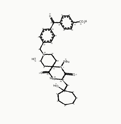 CCCCN1C(=O)[C@@H](CC2(O)CCCCCC2)NC(=O)C12CCN(Cc1ccc(C(=O)c3ccc(C(=O)O)cc3)cc1)CC2.Cl